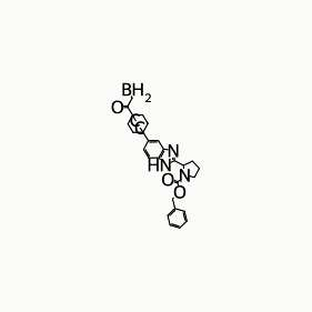 BCC(=O)C12CCC(c3ccc4[nH]c(C5CCCN5C(=O)OCc5ccccc5)nc4c3)(CC1)CC2